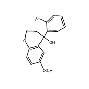 O=C(O)c1ccc2c(c1)C(O)(c1ccccc1C(F)(F)F)CCO2